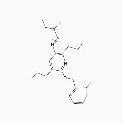 CCCc1cc(/N=C/N(C)CC)c(CCC)nc1OCc1ccccc1C